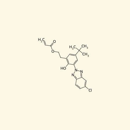 C=CC(=O)OCCc1cc(C(C)(C)C)cc(-n2nc3ccc(Cl)cc3n2)c1O